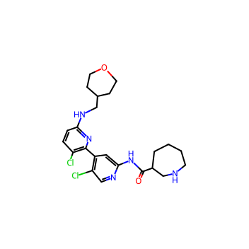 O=C(Nc1cc(-c2nc(NCC3CCOCC3)ccc2Cl)c(Cl)cn1)C1CCCCNC1